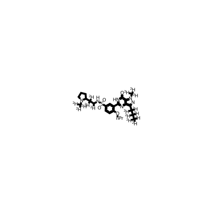 [2H]C(NS(=O)(=O)c1ccc(OCCC)c(-c2nc3c(C([2H])([2H])C([2H])([2H])C([2H])([2H])[2H])nn(C([2H])([2H])[2H])c3c(=O)[nH]2)c1)C([2H])([2H])C1CCCN1C([2H])([2H])[2H]